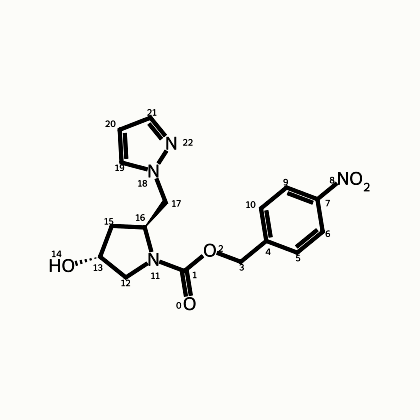 O=C(OCc1ccc([N+](=O)[O-])cc1)N1C[C@H](O)C[C@H]1Cn1cccn1